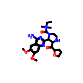 CC[N+](C)(C)C(=O)N1CCNC(C(=O)C2CCCO2)C1c1nc(N)c2cc(OC)c(OC)cc2n1